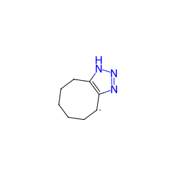 [CH]1CCCCCc2[nH]nnc21